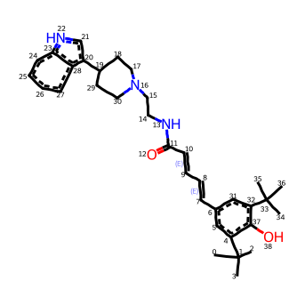 CC(C)(C)c1cc(/C=C/C=C/C(=O)NCCN2CCC(c3c[nH]c4ccccc34)CC2)cc(C(C)(C)C)c1O